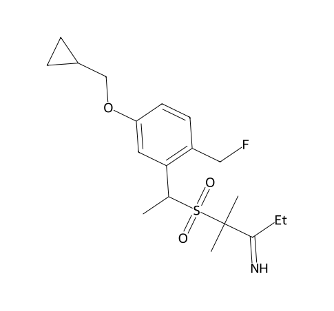 CCC(=N)C(C)(C)S(=O)(=O)C(C)c1cc(OCC2CC2)ccc1CF